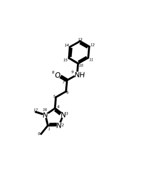 Cc1nnc(CCC(=O)Nc2ccccc2)n1C